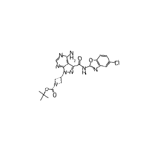 CC(C)(C)OC(=O)N1CC(n2nc(C(=O)Nc3nc4cc(Cl)ccc4o3)c3c(N)ncnc32)C1